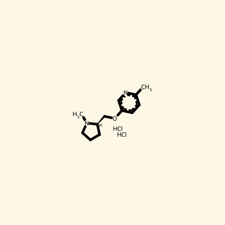 Cc1ccc(OC[C@H]2CCCN2C)cn1.Cl.Cl